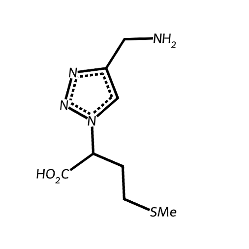 CSCCC(C(=O)O)n1cc(CN)nn1